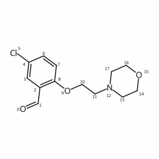 O=Cc1cc(Cl)ccc1OCCN1CCOCC1